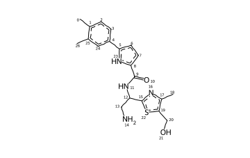 Cc1ccc(-c2ccc(C(=O)NC(CN)c3nc(C)c(CO)s3)[nH]2)cc1C